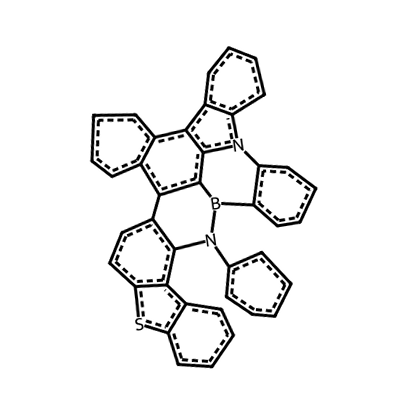 c1ccc(N2B3c4ccccc4-n4c5ccccc5c5c6ccccc6c(c3c54)-c3ccc4sc5ccccc5c4c32)cc1